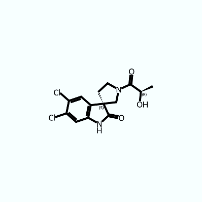 C[C@@H](O)C(=O)N1CC[C@]2(C1)C(=O)Nc1cc(Cl)c(Cl)cc12